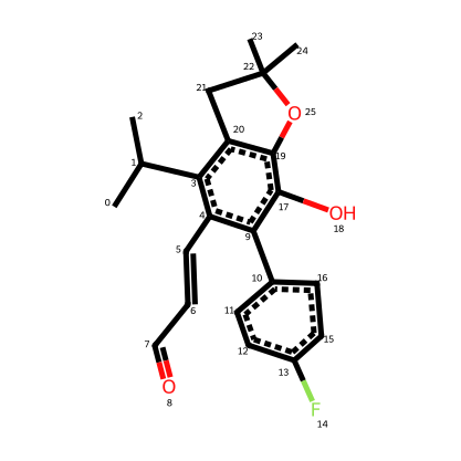 CC(C)c1c(/C=C/C=O)c(-c2ccc(F)cc2)c(O)c2c1CC(C)(C)O2